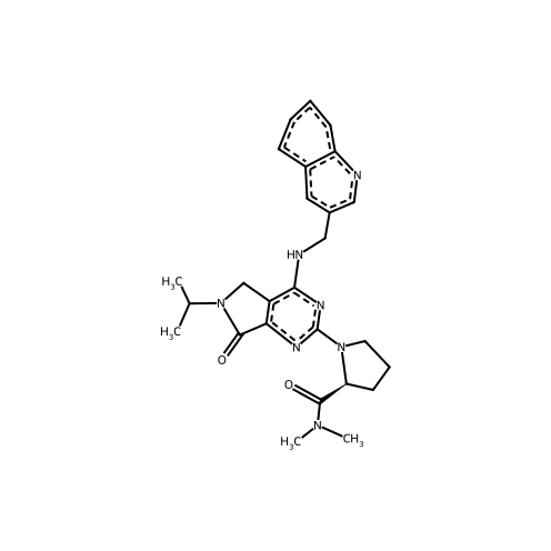 CC(C)N1Cc2c(NCc3cnc4ccccc4c3)nc(N3CCC[C@H]3C(=O)N(C)C)nc2C1=O